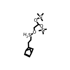 C[Si](C)(C)OC(CO[SiH2]CCC1CC2C=CC1C2)O[Si](C)(C)C